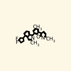 Cc1cc(-c2nc(C)cc3c(C4CCC(F)(F)C4)cccc23)c2oc3nc(C)ccc3c2c1